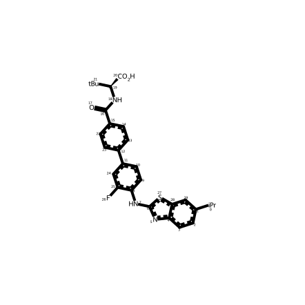 CC(C)c1ccc2nc(Nc3ccc(-c4ccc(C(=O)N[C@H](C(=O)O)C(C)(C)C)cc4)cc3F)sc2c1